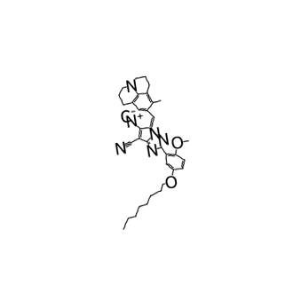 [C-]#[N+]c1c(C#N)c2nc(-c3cc(OCCCCCCCC)ccc3OC)nn2/c1=C/c1cc2c3c(c1C)CCCN3CCC2